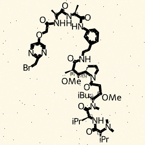 CC[C@H](C)[C@@H]([C@@H](CC(=O)N1CCC[C@H]1[C@H](OC)[C@@H](C)C(=O)NCCc1cccc(NC(=O)[C@H](C)NC(=O)[C@H](C)NC(=O)COc2cnc(CBr)nc2)c1)OC)N(C)C(=O)[C@@H](NC(=O)[C@H](C(C)C)N(C)C)C(C)C